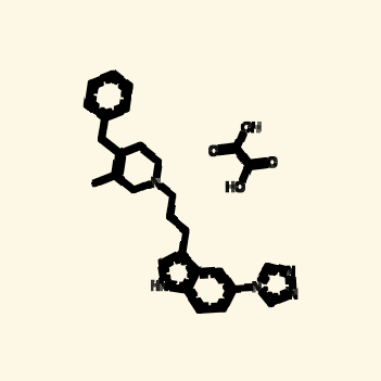 CC1=C(Cc2ccccc2)CCN(CCCc2c[nH]c3ccc(-n4cnnc4)cc23)C1.O=C(O)C(=O)O